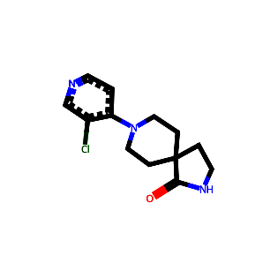 O=C1NCCC12CCN(c1ccncc1Cl)CC2